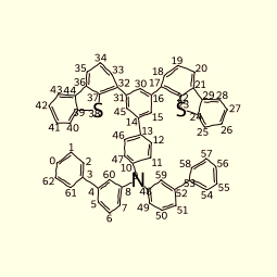 c1ccc(-c2cccc(N(c3ccc(-c4cc(-c5cccc6c5sc5ccccc56)cc(-c5cccc6c5sc5ccccc56)c4)cc3)c3cccc(-c4ccccc4)c3)c2)cc1